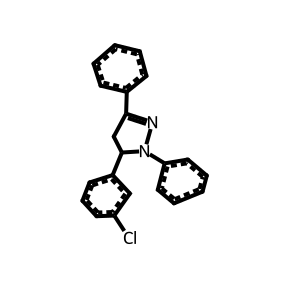 Clc1cccc(C2CC(c3ccccc3)=NN2c2ccccc2)c1